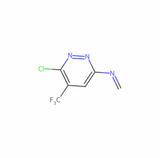 C=Nc1cc(C(F)(F)F)c(Cl)nn1